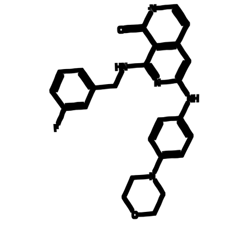 O=C1[N]C=Cc2cc(Nc3ccc(N4CCOCC4)cc3)nc(NCc3cccc(F)c3)c21